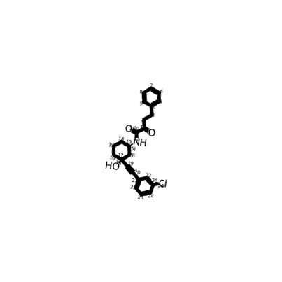 O=C(CCc1ccccc1)C(=O)N[C@H]1CCC[C@@](O)(C#Cc2cccc(Cl)c2)C1